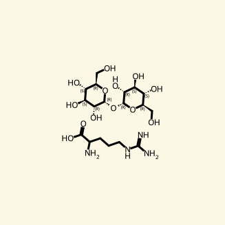 N=C(N)NCCCC(N)C(=O)O.OC[C@H]1O[C@H](O[C@H]2O[C@H](CO)[C@@H](O)[C@H](O)[C@H]2O)[C@H](O)[C@@H](O)[C@@H]1O